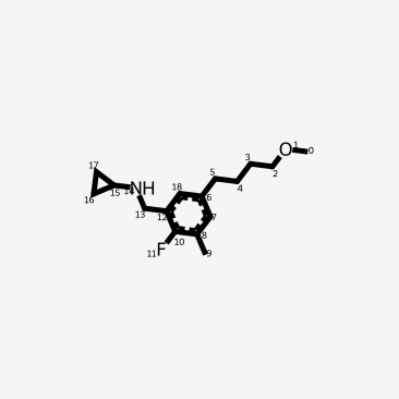 COCCCCc1cc(C)c(F)c(CNC2CC2)c1